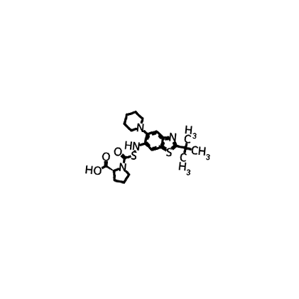 CC(C)(C)c1nc2cc(N3CCCCC3)c(NSC(=O)N3CCC[C@H]3C(=O)O)cc2s1